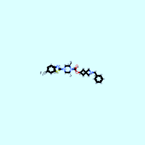 C[C@@H]1CN(c2nc3ccc(C(F)(F)F)cc3s2)C[C@@H](C)N1C(=O)OC1CC2(C1)CN(Cc1ccccc1)C2